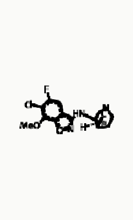 COc1c(Cl)c(F)cc2c(N[C@H]3CN4CCC3CC4)noc12